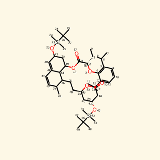 CC[C@H](Oc1c(C(C)C)cccc1C(C)C)C(=O)OC1CC(O[Si](C)(C)C(C)(C)C)C=C2C=CC(C)C(CC[C@@H]3C[C@@H](O[Si](C)(C)C(C)(C)C)CC(=O)O3)C21